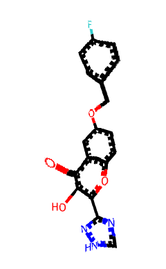 O=c1c(O)c(-c2nc[nH]n2)oc2ccc(OCc3ccc(F)cc3)cc12